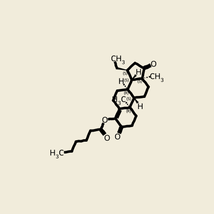 CCCCCC(=O)OC1=C2CC[C@H]3[C@@H]4[C@@H](CC)CC(=O)[C@@]4(C)CC[C@@H]3[C@@]2(C)CCC1=O